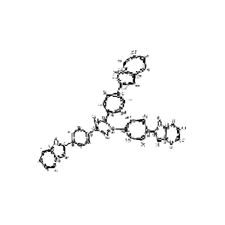 c1ccc2oc(-c3ccc(-c4nc(-c5ccc(-c6cc7ccccc7o6)cc5)n(-c5ccc(-c6cc7ccccc7o6)cc5)n4)cc3)cc2c1